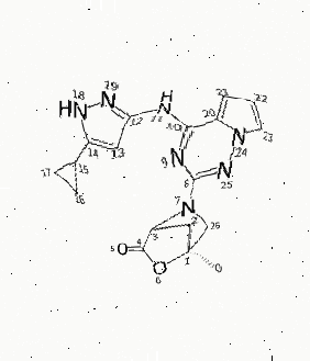 C[C@@]12CC(C(=O)O1)N(c1nc(Nc3cc(C4CC4)[nH]n3)c3cccn3n1)C2